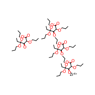 CCCOC(C(=O)[O-])C(=O)C(CC)(OCCC)OCCC.CCCOC(C(=O)[O-])C(=O)C(CC)(OCCC)OCCC.CCCOC(C(=O)[O-])C(=O)C(CC)(OCCC)OCCC.CCCOC(C(=O)[O-])C(=O)C(CC)(OCCC)OCCC.[Zr+4]